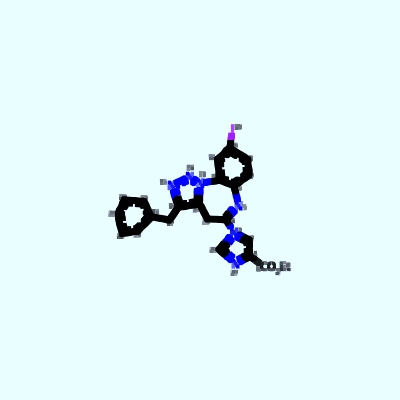 CCOC(=O)c1cn(C2=Nc3ccc(I)cc3-n3nnc(Cc4ccccc4)c3C2)cn1